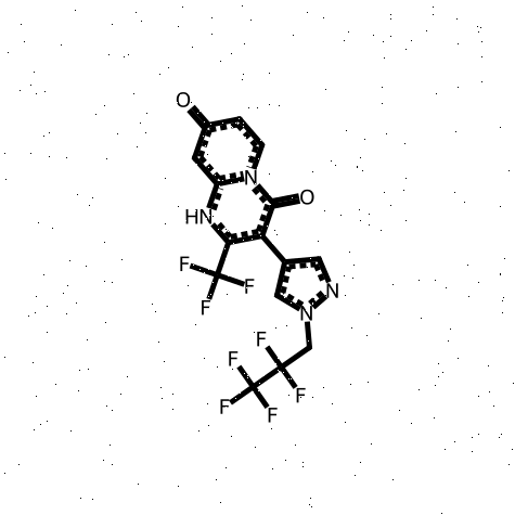 O=c1ccn2c(=O)c(-c3cnn(CC(F)(F)C(F)(F)F)c3)c(C(F)(F)F)[nH]c2c1